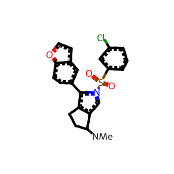 CNC1CCc2c1cn(S(=O)(=O)c1cccc(Cl)c1)c2-c1ccc2occc2c1